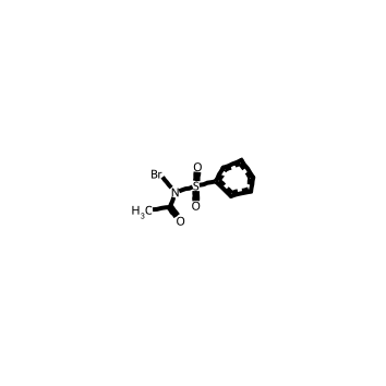 CC(=O)N(Br)S(=O)(=O)c1ccccc1